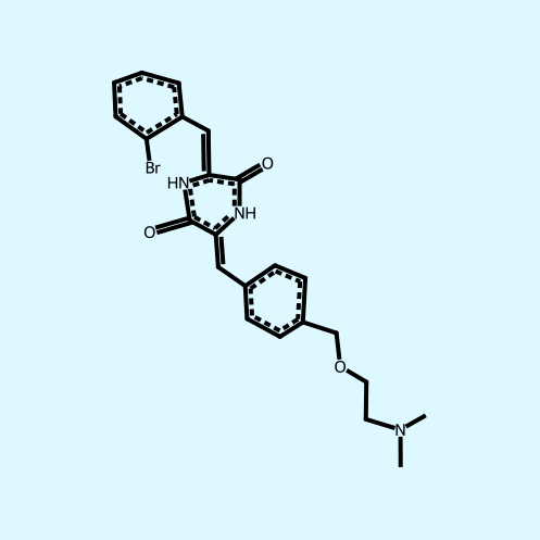 CN(C)CCOCc1ccc(C=c2[nH]c(=O)c(=Cc3ccccc3Br)[nH]c2=O)cc1